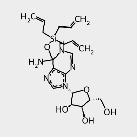 C=CC[Si](CC=C)(CC=C)OC1(N)NC=Nc2c1ncn2[C@@H]1O[C@H](CO)[C@@H](O)[C@H]1O